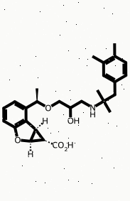 Cc1ccc(CC(C)(C)NCC(O)CO[C@H](C)c2cccc3c2[C@@H]2[C@H](O3)[C@H]2C(=O)O)cc1C